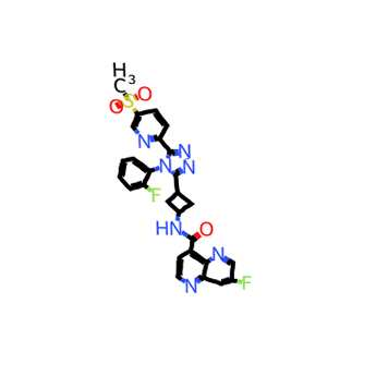 CS(=O)(=O)c1ccc(-c2nnc(C3CC(NC(=O)c4ccnc5cc(F)cnc45)C3)n2-c2ccccc2F)nc1